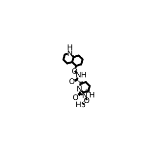 O=C(NOC1CCCC2NCCCC21)[C@@H]1CC[C@@H]2CN1C(=O)N2OS